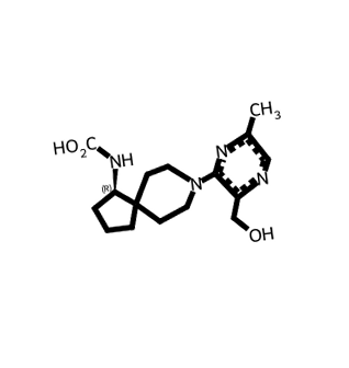 Cc1cnc(CO)c(N2CCC3(CCC[C@H]3NC(=O)O)CC2)n1